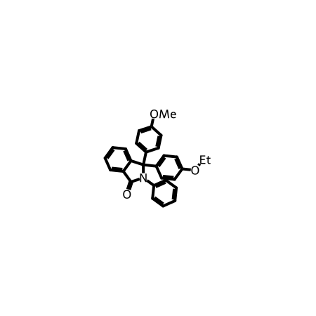 CCOc1ccc(C2(c3ccc(OC)cc3)c3ccccc3C(=O)N2c2ccccc2)cc1